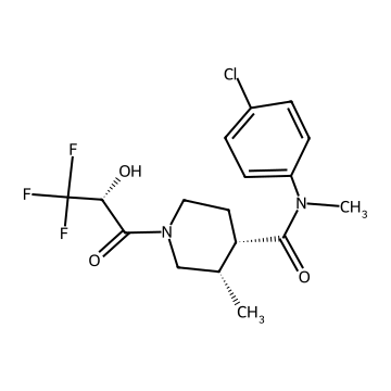 C[C@@H]1CN(C(=O)[C@@H](O)C(F)(F)F)CC[C@@H]1C(=O)N(C)c1ccc(Cl)cc1